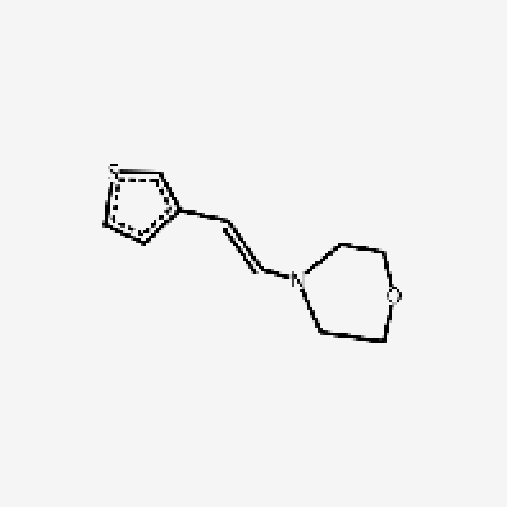 C(=C\N1CCOCC1)/c1ccsc1